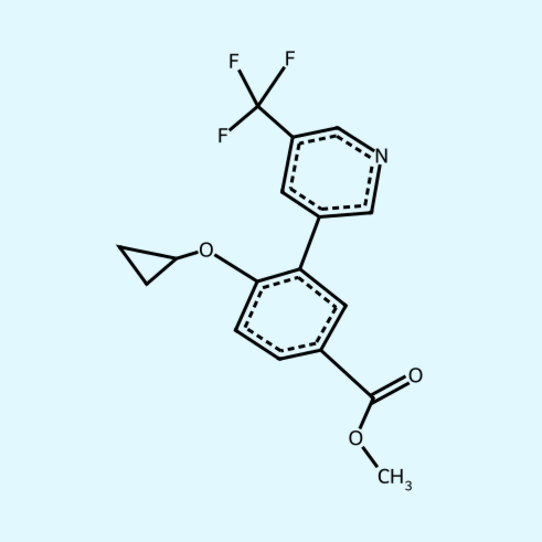 COC(=O)c1ccc(OC2CC2)c(-c2cncc(C(F)(F)F)c2)c1